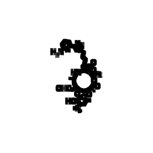 CC[C@H]1OC(=O)[C@H](C)C(=O)[C@H](C)[C@@H](O[C@@H]2OC(C)CC(N(C)C)C2O)[C@@H](CC=O)C[C@@H](C)CN[C@H](C)[C@H]2N(CCCCn3cc(-c4cccc(N)n4)nn3)C(=O)O[C@]12C